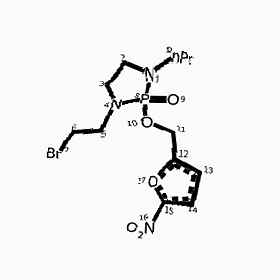 CCCN1CCN(CCBr)P1(=O)OCc1ccc([N+](=O)[O-])o1